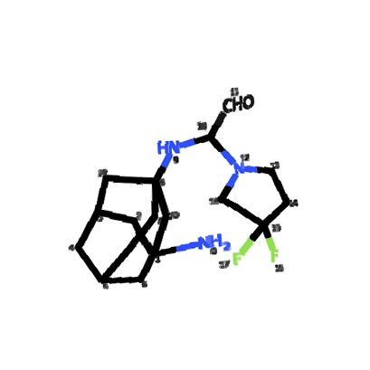 NC12CC3CC(C1)CC(NC(C=O)N1CCC(F)(F)C1)(C3)C2